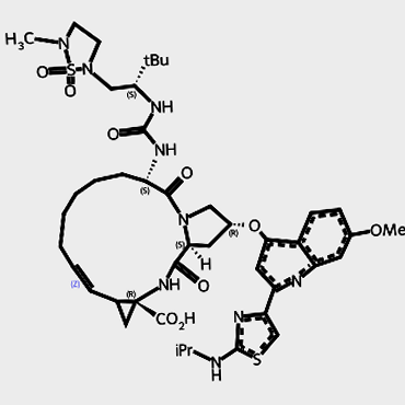 COc1ccc2c(O[C@@H]3C[C@H]4C(=O)N[C@]5(C(=O)O)CC5/C=C\CCCCC[C@H](NC(=O)N[C@H](CN5CCN(C)S5(=O)=O)C(C)(C)C)C(=O)N4C3)cc(-c3csc(NC(C)C)n3)nc2c1